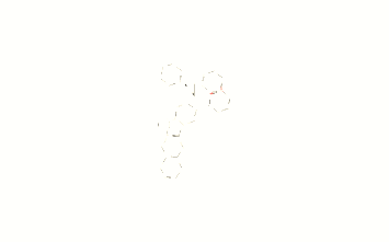 c1ccc(-c2cc3c(cc2N(c2ccccc2)c2ccccc2)oc2cc4ccccc4cc23)cc1